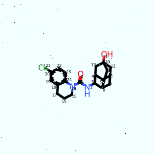 O=C(NC1C2CC3CC1CC(O)(C3)C2)N1CCCc2cc(Cl)ccc21